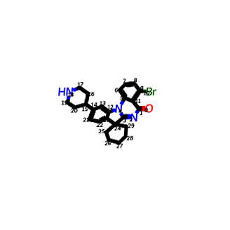 O=c1nc2n(c3cccc(Br)c13)-c1cc(C3CCNCC3)ccc1C21CCCCC1